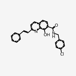 O=C(NCc1ccc(Cl)cc1)c1ccc2ccc(C=Cc3ccccc3)nc2c1O